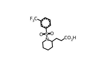 O=C(O)CCC1CCCCN1S(=O)(=O)c1cccc(C(F)(F)F)c1